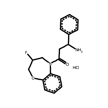 Cl.NC(CC(=O)N1CC(F)COc2ccccc21)c1ccccc1